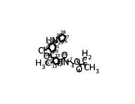 C=C(C)C(=O)OCCNC(=O)c1ccc(C)c(C(=O)c2ccc(Nc3ccccc3)cc2Cl)c1